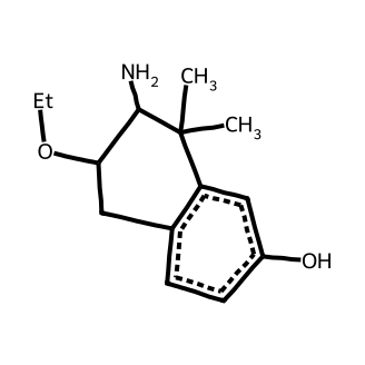 CCOC1Cc2ccc(O)cc2C(C)(C)C1N